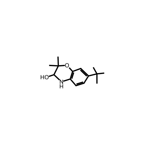 CC(C)(C)c1ccc2c(c1)OC(C)(C)C(O)N2